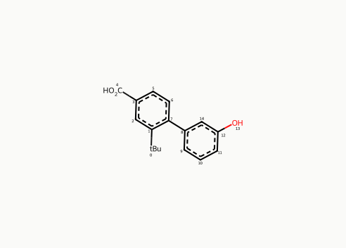 CC(C)(C)c1cc(C(=O)O)ccc1-c1cccc(O)c1